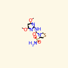 COc1cc(OC)nc(NC(=O)N2CSC=C2S(N)(=O)=O)n1